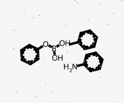 Cc1ccccc1.Nc1ccccc1.OB(O)Oc1ccccc1